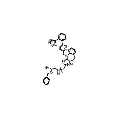 CC(C)[C@@H](CNC(C)(C)CC(=O)N[C@@H]1CCc2ccccc2N(Cc2ccc(-c3ccccc3-c3nnn[nH]3)cc2)C1=O)OCc1ccccc1